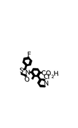 Cc1c(N2C(=O)CSC2c2ccc(F)cc2)ccc(C(=O)O)c1-c1cccnc1Cl